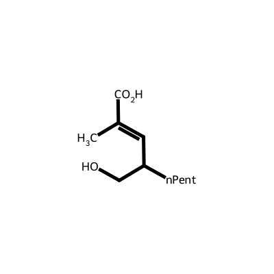 CCCCCC(C=C(C)C(=O)O)CO